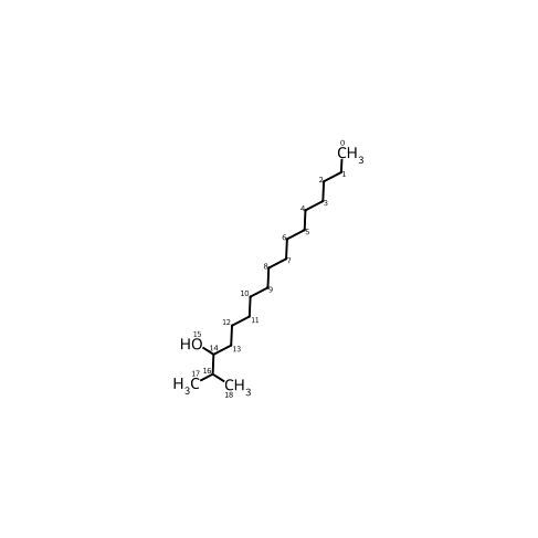 CCCCCCCCCCCCCCC(O)C(C)C